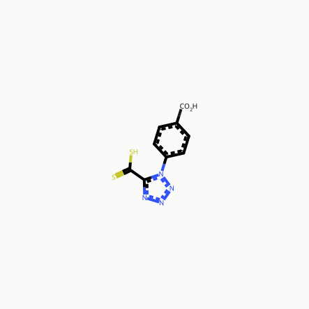 O=C(O)c1ccc(-n2nnnc2C(=S)S)cc1